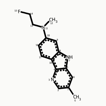 Cc1cnc2c(c1)[nH]c1cc(N(C)CCF)ccc12